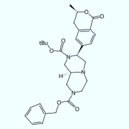 C[C@@H]1Cc2cc([C@H]3CN4CCN(C(=O)OCc5ccccc5)C[C@H]4CN3C(=O)OC(C)(C)C)ccc2C(=O)O1